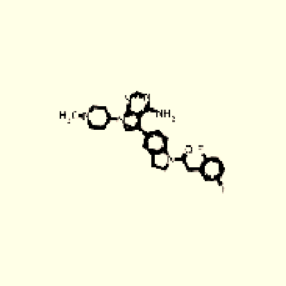 CN1CCC(n2cc(-c3ccc4c(c3)CCN4C(=O)Cc3cc(F)ccc3F)c3c(N)ncnc32)CC1